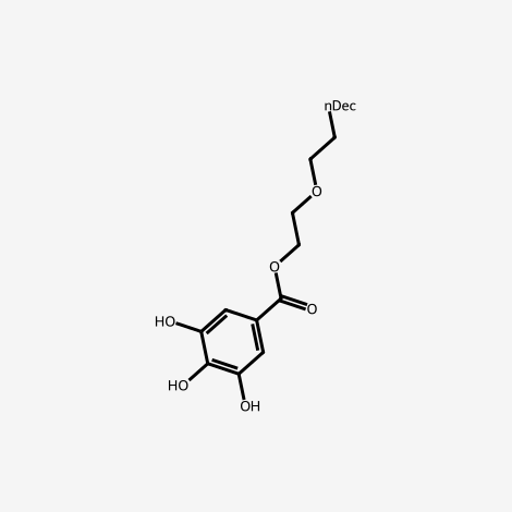 CCCCCCCCCCCCOCCOC(=O)c1cc(O)c(O)c(O)c1